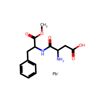 COC(=O)C(Cc1ccccc1)NC(=O)C(N)CC(=O)O.[Pb]